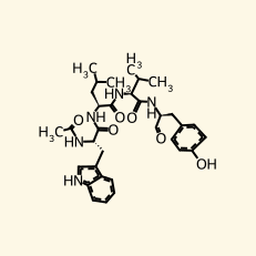 CC(=O)N[C@@H](Cc1c[nH]c2ccccc12)C(=O)N[C@@H](CC(C)C)C(=O)N[C@H](C(=O)N[C@H](C=O)Cc1ccc(O)cc1)C(C)C